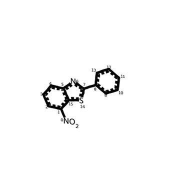 O=[N+]([O-])c1cccc2nc(-c3ccccc3)sc12